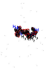 Cc1c(-c2ccc(N3CCc4cccc(C(=O)Nc5nc6ccccc6s5)c4C3)nc2C(=O)O)cnn1C[C@]12CC3(C)CC1(C)CC3(OCCN(CCS(=O)O)C(=O)OCc1ccc(NC(=O)[C@H](CCCNC(N)=O)NC(=O)[C@@H](NC(=O)CN3C(=O)[C@@H](N4C(=O)C=CC4=O)CC3COCCS(=O)(=O)O)C(C)C)cc1)C2